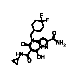 NC(=O)c1cc2n(CC3CCC(F)(F)CC3)c(=O)c(C(=O)NC3CC3)c(O)n2n1